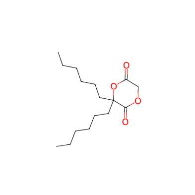 CCCCCCC1(CCCCCC)OC(=O)COC1=O